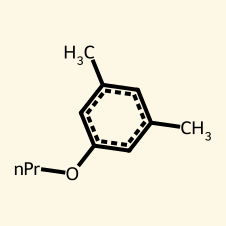 C[CH]COc1cc(C)cc(C)c1